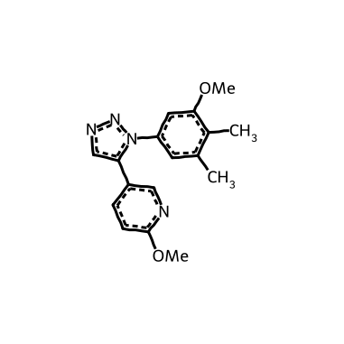 COc1ccc(-c2cnnn2-c2cc(C)c(C)c(OC)c2)cn1